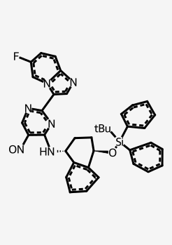 CC(C)(C)[Si](O[C@@H]1CC[C@@H](Nc2nc(-c3cnc4ccc(F)cn34)ncc2N=O)c2ccccc21)(c1ccccc1)c1ccccc1